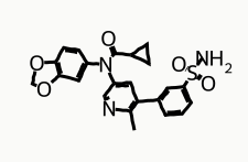 Cc1ncc(N(C(=O)C2CC2)c2ccc3c(c2)OCO3)cc1-c1cccc(S(N)(=O)=O)c1